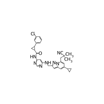 CC(C)(C#N)Cc1cc(C2CC2)cc2cc(CNc3cc(NC(=O)C4CC4c4cccc(Cl)c4)ncn3)nn12